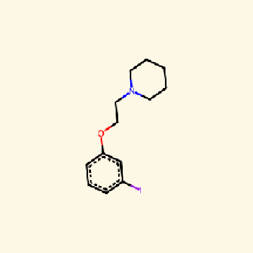 Ic1cccc(OCCN2CCCCC2)c1